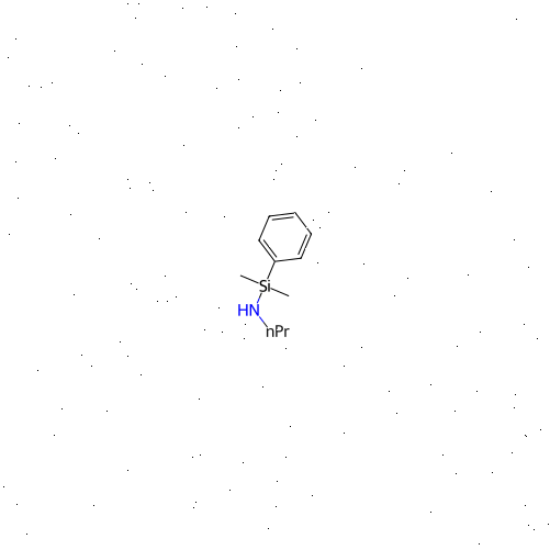 CCCN[Si](C)(C)c1ccccc1